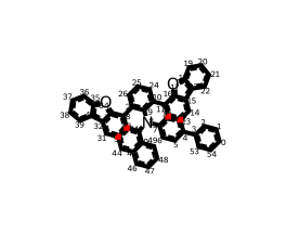 c1ccc(-c2ccc(N(c3c(-c4cccc5c4oc4ccccc45)cccc3-c3cccc4c3oc3ccccc34)c3cccc4ccccc34)cc2)cc1